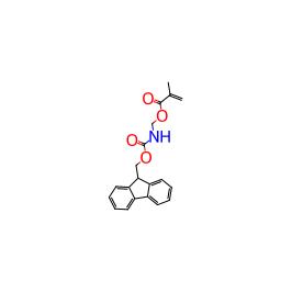 C=C(C)C(=O)OCNC(=O)OCC1c2ccccc2-c2ccccc21